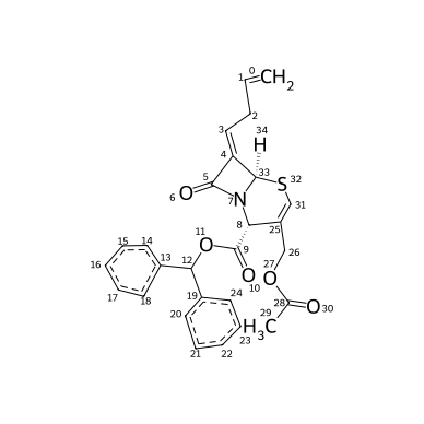 C=CCC=C1C(=O)N2[C@@H](C(=O)OC(c3ccccc3)c3ccccc3)C(COC(C)=O)=CS[C@H]12